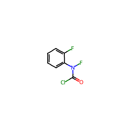 O=C(Cl)N(F)c1ccccc1F